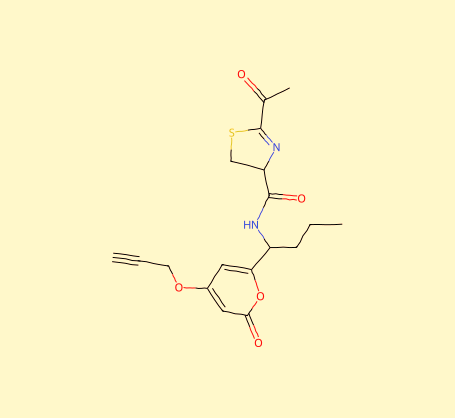 C#CCOc1cc(C(CCC)NC(=O)C2CSC(C(C)=O)=N2)oc(=O)c1